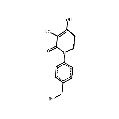 CC(C)(C)Sc1ccc(N2CCC(O)=C(C#N)C2=O)cc1